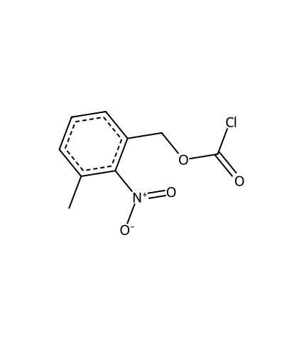 Cc1cccc(COC(=O)Cl)c1[N+](=O)[O-]